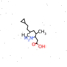 CC(CCC1CC1)CC(C)C(N)CC(=O)O